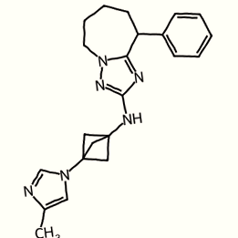 Cc1cn(C23CC(Nc4nc5n(n4)CCCCC5c4ccccc4)(C2)C3)cn1